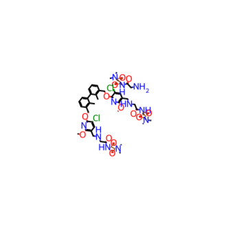 CN(C)S(=O)(=O)NC(=O)CN.COc1nc(OCc2cccc(-c3cccc(COc4nc(OC)c(CNCC(=O)NS(=O)(=O)N(C)C)cc4Cl)c3C)c2C)c(Cl)cc1CNCC(=O)NS(=O)(=O)N(C)C